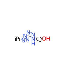 CC(C)N(C)c1nc2c(NC3CC4CC3CC4O)ncnc2n1C